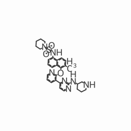 Cc1ccc2c(NS(=O)(=O)N3CCCCC3)cccc2c1Oc1ncccc1-c1ccnc(NC2CCCNC2)n1